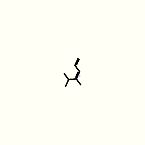 C=C/C=C(/C)C(C)C